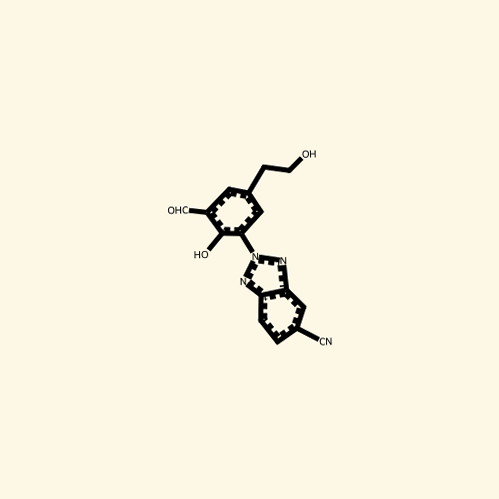 N#Cc1ccc2nn(-c3cc(CCO)cc(C=O)c3O)nc2c1